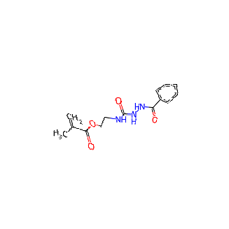 C=C(C)C(=O)OCCNC(=O)NNC(=O)c1ccccc1